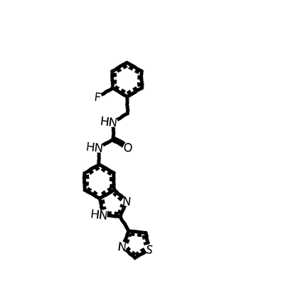 O=C(NCc1ccccc1F)Nc1ccc2[nH]c(-c3cscn3)nc2c1